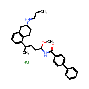 CCCN[C@H]1CCc2c(cccc2C(C)CCC(NC(=O)c2ccc(-c3ccccc3)cc2)OC)C1.Cl